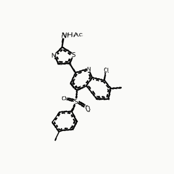 CC(=O)Nc1ncc(-c2cc(S(=O)(=O)c3ccc(C)cc3)c3ccc(C)c(Cl)c3n2)s1